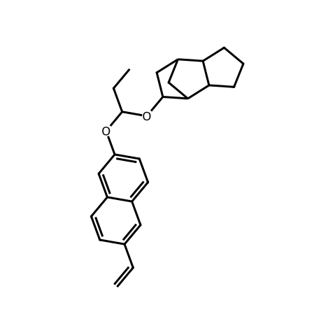 C=Cc1ccc2cc(OC(CC)OC3CC4CC3C3CCCC43)ccc2c1